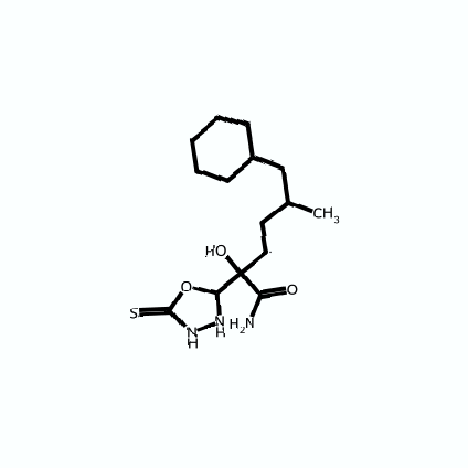 CC(C[CH]C(O)(C(N)=O)C1NNC(=S)O1)CC1CCCCC1